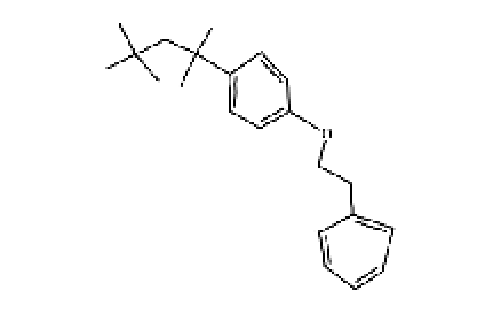 CC(C)(C)CC(C)(C)c1ccc(OCCc2[c]cccc2)cc1